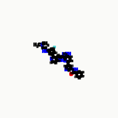 CN(C)CCNc1cc(F)cc(-c2nccc3[nH]c(-c4n[nH]c5ccc(-c6cncc(NC(=O)C7CCCCC7)c6)nc45)cc23)c1